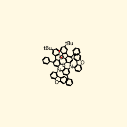 CC(C)(C)c1ccc2oc3c4c(cc(-c5ccccc5)c3c2c1)N(c1cccc2oc3ccccc3c12)c1cc(-c2ccccc2)cc2c1B4c1c(cc(-c3ccccc3)c3c1oc1ccc(C(C)(C)C)cc13)N2c1cccc2oc3ccccc3c12